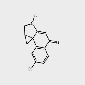 CCc1ccc2c(c1)C13CC1CN(CC)C3=CC2=O